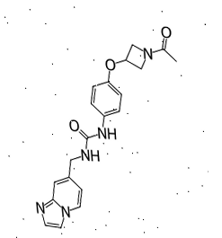 CC(=O)N1CC(Oc2ccc(NC(=O)NCc3ccn4ccnc4c3)cc2)C1